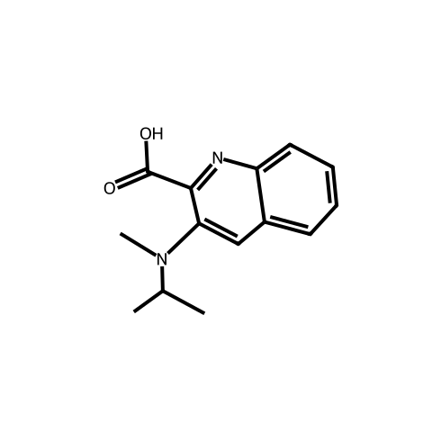 CC(C)N(C)c1cc2ccccc2nc1C(=O)O